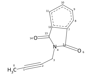 CC#CCN1C(=O)c2ccccc2C1=O